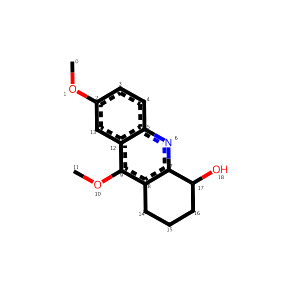 COc1ccc2nc3c(c(OC)c2c1)CCCC3O